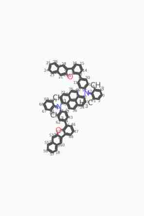 Cc1cccc(C)c1N(c1ccc(-c2cccc3c2oc2cc4ccccc4cc23)cc1)c1ccc2ccc3c(N(c4ccc(-c5cccc6c5oc5cc7ccccc7cc56)cc4)c4c(C)cccc4C)ccc4ccc1c2c43